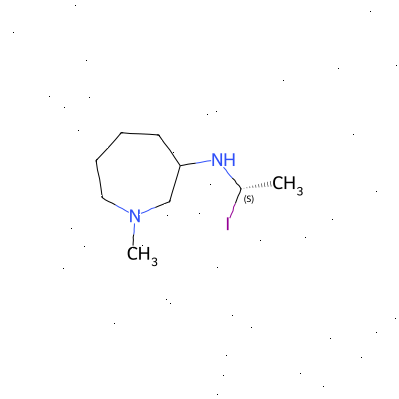 C[C@H](I)NC1CCCCN(C)C1